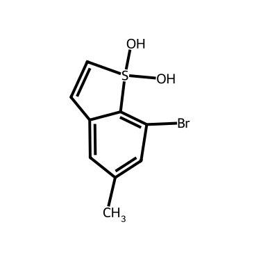 Cc1cc(Br)c2c(c1)C=CS2(O)O